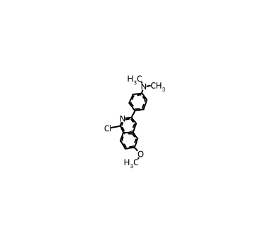 COc1ccc2c(Cl)nc(-c3ccc(N(C)C)cc3)cc2c1